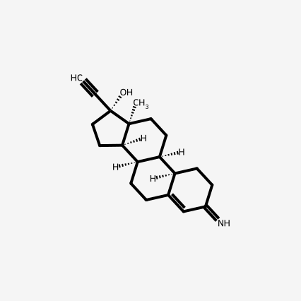 C#C[C@]1(O)CC[C@@H]2[C@@H]3CCC4=CC(=N)CC[C@@H]4[C@@H]3CC[C@@]21C